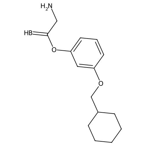 B=C(CN)Oc1cccc(OCC2CCCCC2)c1